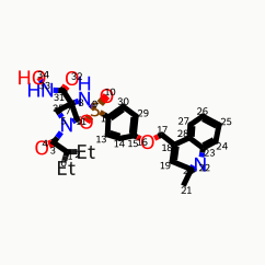 CCC(CC)C(=O)N1CC(NS(=O)(=O)c2ccc(OCc3cc(C)nc4ccccc34)cc2)(C(=O)NO)C1